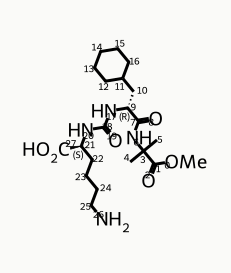 COC(=O)C(C)(C)NC(=O)[C@@H](CC1CCCCC1)NC(=O)N[C@@H](CCCCN)C(=O)O